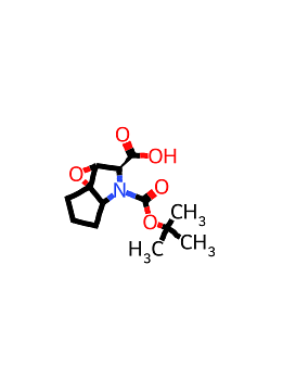 CC(C)(C)OC(=O)N1C2CCCC23OC3[C@H]1C(=O)O